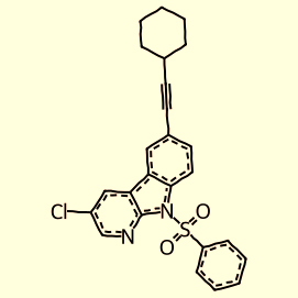 O=S(=O)(c1ccccc1)n1c2ccc(C#CC3CCCCC3)cc2c2cc(Cl)cnc21